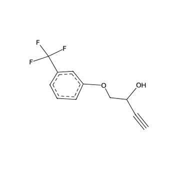 C#CC(O)COc1cccc(C(F)(F)F)c1